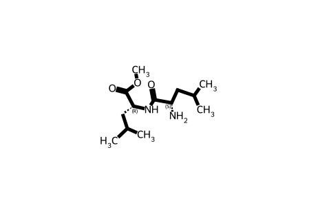 COC(=O)[C@@H](CC(C)C)NC(=O)[C@@H](N)CC(C)C